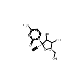 C#C[C@@]1(n2ccc(N)nc2=O)O[C@H](CO)C(O)C1O